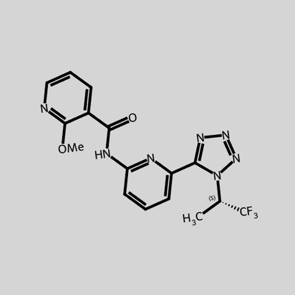 COc1ncccc1C(=O)Nc1cccc(-c2nnnn2[C@@H](C)C(F)(F)F)n1